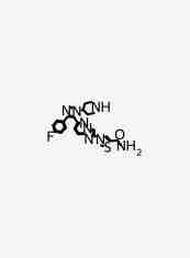 NC(=O)C1=CN(c2cn3nc(-c4c(-c5ccc(F)cc5)ncn4C4CCNCC4)ccc3n2)CS1